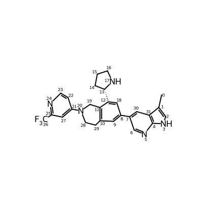 Cc1c[nH]c2ncc(-c3cc4c(c([C@@H]5CCCN5)c3)CN(c3ccnc(C(F)(F)F)c3)CC4)cc12